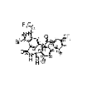 O=C(Nc1cc2c(c(Br)nn2CC(F)(F)F)c2c1C(O)(c1cc(F)ccc1Cl)NC2=O)c1cc(F)cc(C(F)(F)F)c1